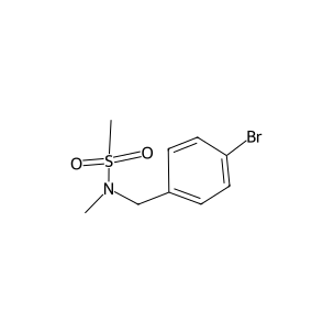 CN(Cc1ccc(Br)cc1)S(C)(=O)=O